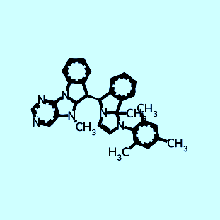 Cc1cc(C)c(N2C=CN3[C@@H](C4c5ccccc5N5c6ncncc6N(C)C45)c4ccccc4C23C)c(C)c1